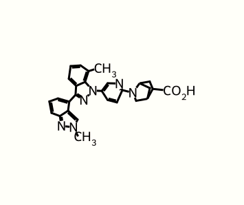 Cc1cccc2c(-c3cccc4nn(C)cc34)nn(-c3ccc(N4CC5CC4CC5C(=O)O)nc3)c12